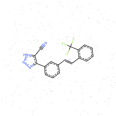 N#Cc1[nH]nnc1-c1cccc(/C=C/c2ccccc2C(F)(F)F)c1